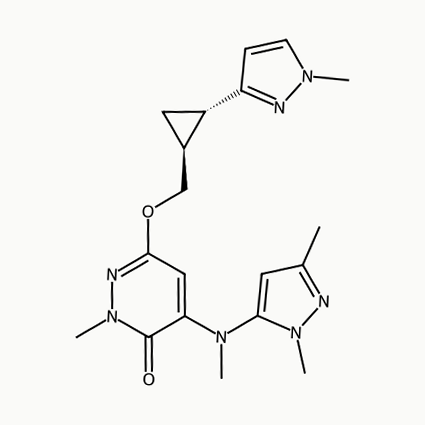 Cc1cc(N(C)c2cc(OC[C@H]3C[C@@H]3c3ccn(C)n3)nn(C)c2=O)n(C)n1